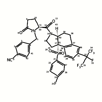 N#Cc1ccc(CN2C(=O)CC[C@H]2C(=O)N2CC[C@]3(S(=O)(=O)c4ccc(F)cc4)c4ccc(C(F)(C(F)(F)F)C(F)(F)F)cc4CC[C@H]23)cc1